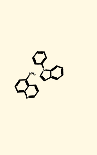 Nc1cccc2ncccc12.c1ccc(-n2ccc3ccccc32)cc1